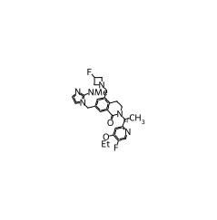 CCOc1cc([C@H](C)N2CCc3c(CN4CC(F)C4)cc(Cn4ccnc4NC)cc3C2=O)ncc1F